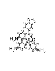 Nc1ccc(C(O[PH](=O)OC(c2ccc(N)cc2)c2ccc(N)cc2)c2ccc(N)cc2)cc1